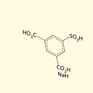 O=C(O)c1cc(C(=O)O)cc(S(=O)(=O)O)c1.[NaH]